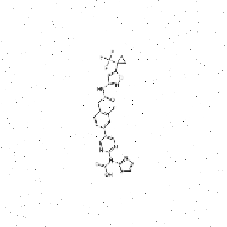 O=C(Cc1ccc(-c2cnc(N(C(=O)O)c3nccs3)nc2)cc1F)Nc1cc(C2(C(F)(F)F)CC2)on1